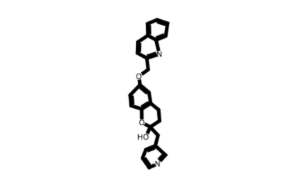 OC1(Cc2cccnc2)CCc2cc(OCc3ccc4ccccc4n3)ccc2O1